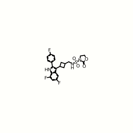 O=C1OCCN1S(=O)(=O)NCC1CC(c2c(-c3ccc(F)cc3)[nH]c3c(F)cc(F)cc23)C1